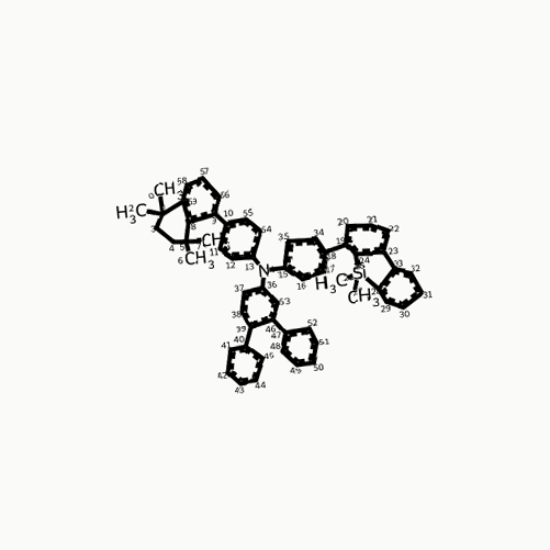 CC1(C)CCC(C)(C)c2c(-c3ccc(N(c4ccc(-c5cccc6c5[Si](C)(C)c5ccccc5-6)cc4)c4ccc(-c5ccccc5)c(-c5ccccc5)c4)cc3)cccc21